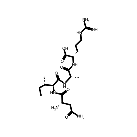 CC[C@H](C)[C@H](NC(=O)[C@@H](N)CC(N)=O)C(=O)N[C@@H](C)C(=O)N[C@@H](CCCNC(=N)N)C(=O)O